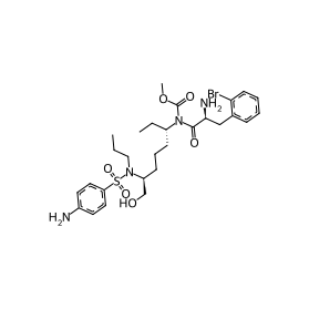 CCCN([C@H](CO)CCC[C@H](CC)N(C(=O)OC)C(=O)[C@@H](N)Cc1ccccc1Br)S(=O)(=O)c1ccc(N)cc1